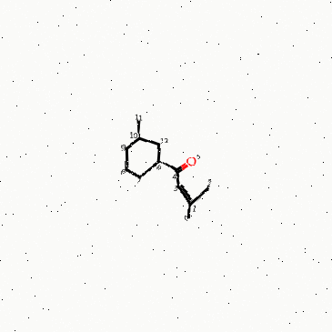 CC(C)=CC(=O)[C@H]1CCC[C@@H](C)C1